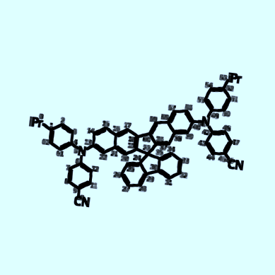 CC(C)c1ccc(N(c2ccc(C#N)cc2)c2ccc3cc4c(cc3c2)C2(c3ccccc3-c3ccccc32)c2cc3cc(N(c5ccc(C#N)cc5)c5ccc(C(C)C)cc5)ccc3cc2-4)cc1